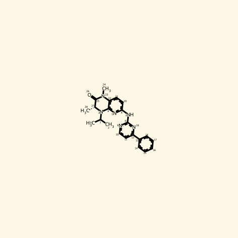 CC(C)N1c2nc(Nc3nccc(-c4ccccc4)n3)ccc2N(C)C(=O)[C@H]1C